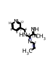 C/C=C\N=C(\NCc1cccnc1)C(C)=N